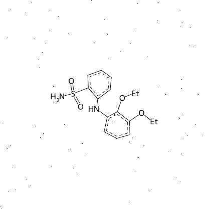 CCOc1cccc(Nc2ccccc2S(N)(=O)=O)c1OCC